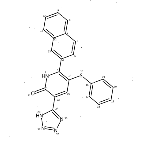 O=c1[nH]c(-c2ccc3ccccc3c2)c(Sc2ccccc2)cc1-c1nnn[nH]1